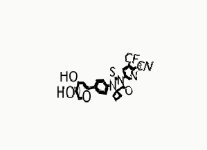 N#Cc1ncc(N2C(=O)C3(CCC3)N(c3ccc(C4=CC(O)[C@H](O)CO4)cc3)C2=S)cc1C(F)(F)F